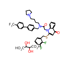 O=C(Cn1c(SCc2cccc(F)c2F)cc(=O)c2ccccc21)N(CCCCN1CCCC1)Cc1ccc(-c2ccc(C(F)(F)F)cc2)cc1.O=C(O)C(O)C(O)C(=O)O